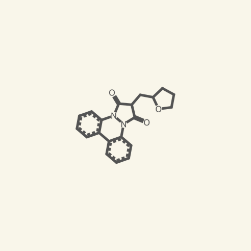 O=C1C(CC2CCCO2)C(=O)N2c3ccccc3-c3ccccc3N12